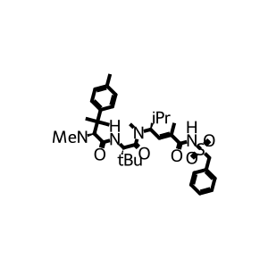 CN[C@H](C(=O)N[C@H](C(=O)N(C)[C@H](/C=C(\C)C(=O)NS(=O)(=O)Cc1ccccc1)C(C)C)C(C)(C)C)C(C)(C)c1ccc(C)cc1